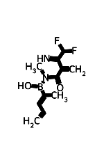 C=C/C=C(\C)B(O)N(C)C(=O)C(=C)C(=N)C(F)F